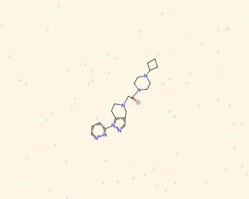 O=C(CN1CCc2c(cnn2-c2cccnn2)C1)N1CCN(C2CCC2)CC1